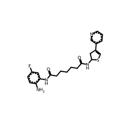 Nc1ccc(F)cc1NC(=O)CCCCCC(=O)NC1CC(c2cccnc2)=CS1